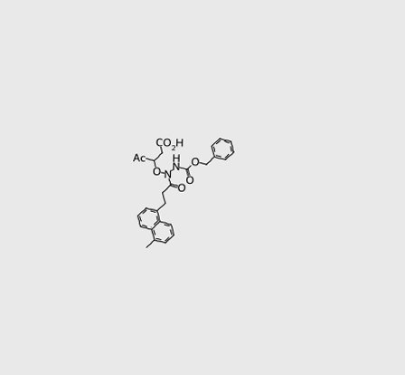 CC(=O)C(CC(=O)O)ON(NC(=O)OCc1ccccc1)C(=O)CCc1cccc2c(C)cccc12